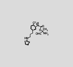 CC(N)(C=O)OC(=O)Nc1cc(CCCNc2nccs2)ccc1C(F)(F)F